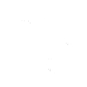 NC(=O)C=Cc1cccc([N+](=O)[O-])c1O.NC(=O)C=Cc1ccccc1O